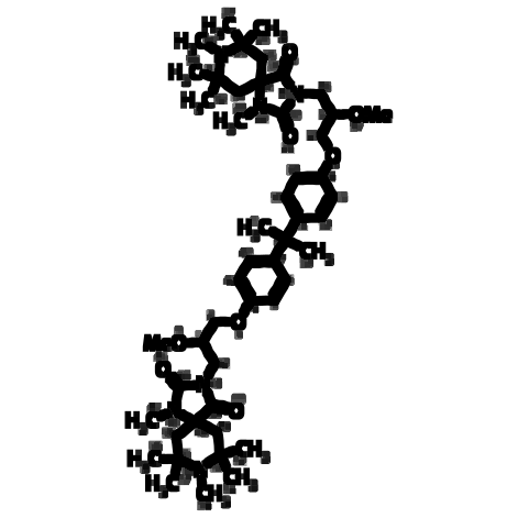 COC(COc1ccc(C(C)(C)c2ccc(OCC(CN3C(=O)N(C)C4(CC(C)(C)N(C)C(C)(C)C4)C3=O)OC)cc2)cc1)CN1C(=O)N(C)C2(CC(C)(C)N(C)C(C)(C)C2)C1=O